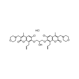 C=CCc1c(OCC(O)COc2c(Cl)cc3c(C)c(CN4CCOCC4)c(=O)oc3c2CC=C)c(Cl)cc2c(C)c(CN3CCOCC3)c(=O)oc12.Cl